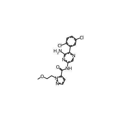 COCCn1nccc1C(=O)Nc1cnc(-c2cc(Cl)ccc2Cl)c(N)n1